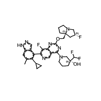 Cc1cc2[nH]ncc2c(-c2ncc3c(N4CCC[C@](O)(C(F)F)C4)nc(OC[C@@]45CCCN4C[C@H](F)C5)nc3c2F)c1C1CC1